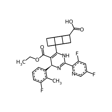 CCOC(=O)C1=C(C23C4C5C2C2C3C4C52C(=O)O)NC(c2ncc(F)cc2F)=N[C@H]1c1cccc(F)c1C